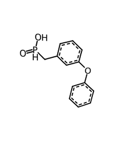 O=[PH](O)Cc1cccc(Oc2ccccc2)c1